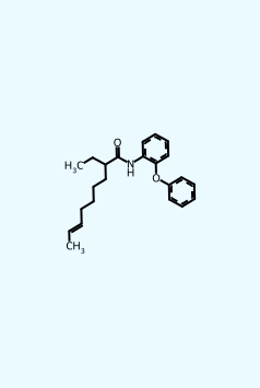 CC=CCCCCC(CC)C(=O)Nc1ccccc1Oc1ccccc1